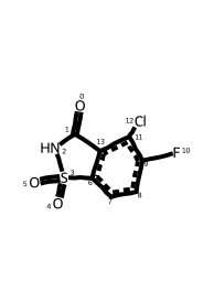 O=C1NS(=O)(=O)c2ccc(F)c(Cl)c21